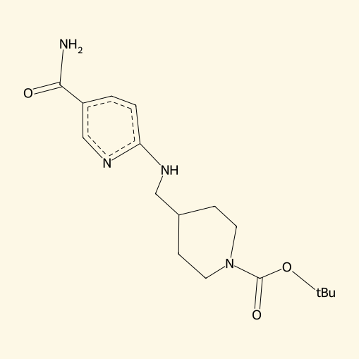 CC(C)(C)OC(=O)N1CCC(CNc2ccc(C(N)=O)cn2)CC1